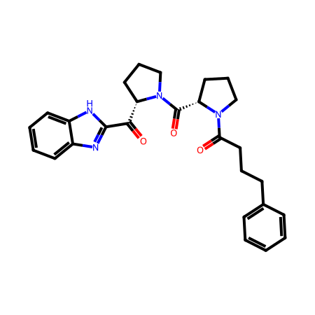 O=C(c1nc2ccccc2[nH]1)[C@@H]1CCCN1C(=O)[C@@H]1CCCN1C(=O)CCCc1ccccc1